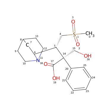 CS(=O)(=O)C[C@@H](C1CC2CCN1CC2)[C@](CO)(C(=O)O)c1ccccc1